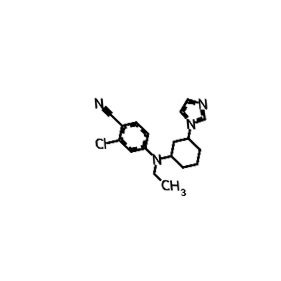 CCN(c1ccc(C#N)c(Cl)c1)C1CCCC(n2ccnc2)C1